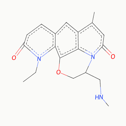 CCn1c(=O)ccc2cc3c(C)cc(=O)n4c3c(c21)OCC4CNC